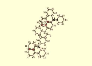 Cc1c2c3c(cccc3c3cc(N(c4ccccc4)c4ccccc4-c4ccccc4)ccc13)C(C)(C)c1cc(N(c3ccccc3)c3ccccc3-c3ccccc3)ccc1-2